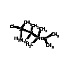 C[SiH](C)[Si](C)(C)[Si](C)(C)[Si](C)(C)Cl